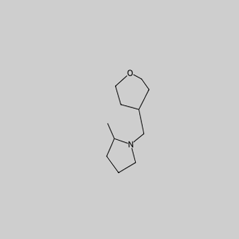 CC1CCCN1CC1CCOCC1